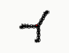 C=C(OCCOCCOCCOCCOCCOCC(CC)(COCCOCCOCCOCCOCCOC(=C)C1CC=CCC1)COCCOCCOCCOCCOCCOC(=N)C1CC=CCC1)C1CC=CCC1